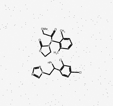 CCCC(Cn1cncn1)c1ccc(Cl)cc1Cl.COCC(=O)N(c1c(C)cccc1C)N1CCOC1=O